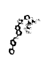 CC(C)(C)OC(=O)/N=C(/NC(=O)OC(C)(C)C)N1CCC[C@H]1c1nc(-c2ccc3cc(OCc4ccc(-c5ccccc5)cc4)ccc3c2)no1